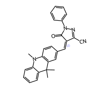 CN1c2ccccc2C(C)(C)c2cc(/C=C3\C(=O)N(c4ccccc4)N=C3C#N)ccc21